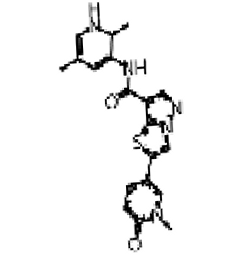 CC1=CNC(C)C(NC(=O)c2cnn3cc(-c4ccc(=O)n(C)c4)sc23)=C1